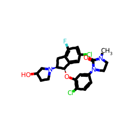 CN1CCN(c2ccc(Cl)c(O[C@H]3c4cc(Cl)cc(F)c4C[C@@H]3N3CCC(O)C3)c2)C1=O